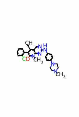 C#Cc1c(-c2ccccc2Cl)c(=O)n(C)c2nc(Nc3ccc(N4CCN(C)CC4)cc3)ncc12